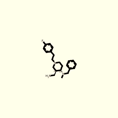 CN(Cc1ccccc1)[C@H]1CCN(CCc2ccc(F)cc2)C[C@@H]1CN